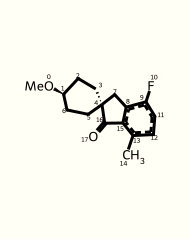 CO[C@H]1CC[C@]2(CC1)Cc1c(F)ccc(C)c1C2=O